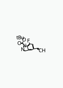 C#Cc1cc(F)c2c(cnn2C(=O)OC(C)(C)C)c1